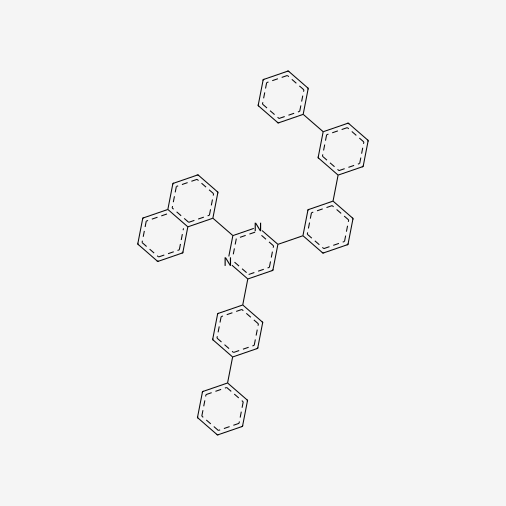 c1ccc(-c2ccc(-c3cc(-c4cccc(-c5cccc(-c6ccccc6)c5)c4)nc(-c4cccc5ccccc45)n3)cc2)cc1